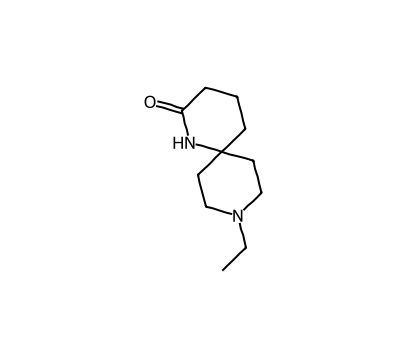 CCN1CCC2(CCCC(=O)N2)CC1